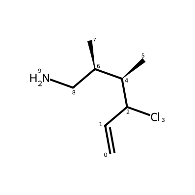 C=CC(Cl)[C@H](C)[C@H](C)CN